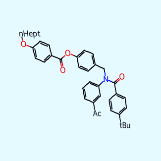 CCCCCCCOc1ccc(C(=O)Oc2ccc(CN(C(=O)c3ccc(C(C)(C)C)cc3)c3cccc(C(C)=O)c3)cc2)cc1